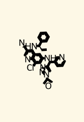 CC[C@@H](Nc1c(C#N)cnc2c(Cl)cc(N[C@@H](c3cccnc3)c3cn(C4COC4)nn3)cc12)c1ccccc1